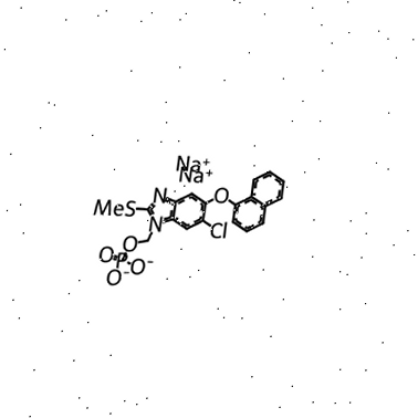 CSc1nc2cc(Oc3cccc4ccccc34)c(Cl)cc2n1COP(=O)([O-])[O-].[Na+].[Na+]